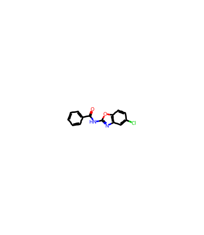 O=C(Nc1nc2cc(Cl)ccc2o1)c1ccccc1